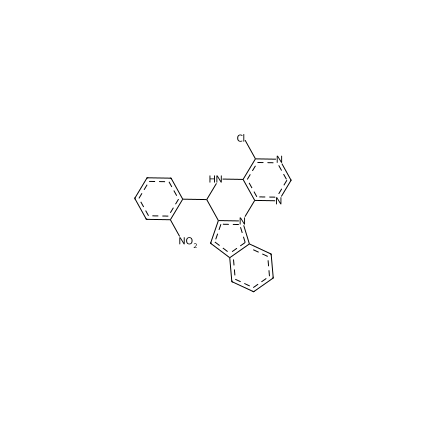 O=[N+]([O-])c1ccccc1C1Nc2c(Cl)ncnc2-n2c1cc1ccccc12